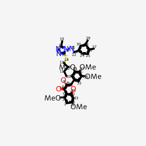 COc1cc(OC)c2c(=O)c(OCCCCSc3nnc(C)n3N=Cc3ccc(C)c(C)c3)c(-c3cc(OC)c(OC)c(OC)c3)oc2c1